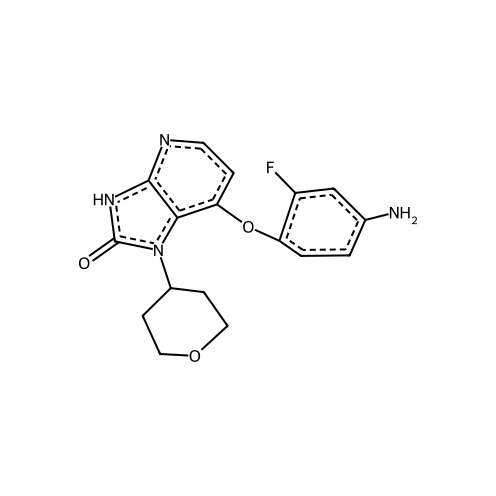 Nc1ccc(Oc2ccnc3[nH]c(=O)n(C4CCOCC4)c23)c(F)c1